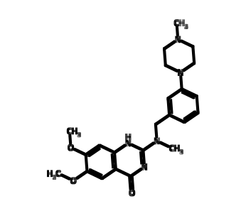 COc1cc2[nH]c(N(C)Cc3cccc(N4CCN(C)CC4)c3)nc(=O)c2cc1OC